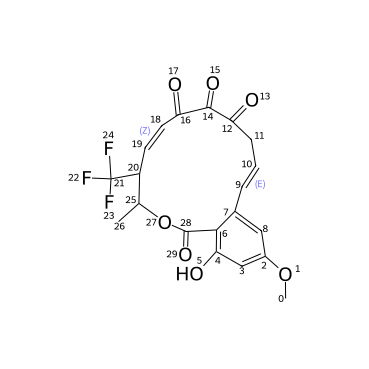 COc1cc(O)c2c(c1)/C=C/CC(=O)C(=O)C(=O)/C=C\C(C(F)(F)F)C(C)OC2=O